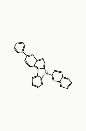 c1ccc(-c2ccc3c(ccc4c3c3ccccc3n4-c3ccc4ccccc4c3)c2)cc1